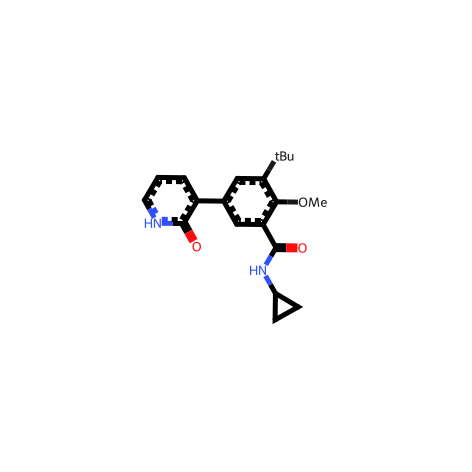 COc1c(C(=O)NC2CC2)cc(-c2ccc[nH]c2=O)cc1C(C)(C)C